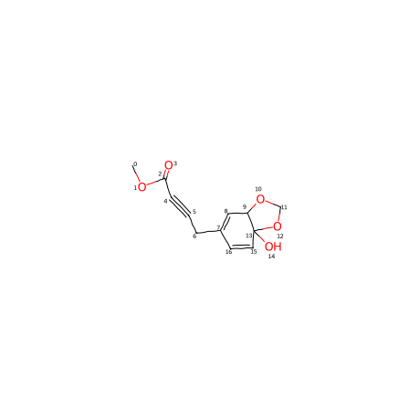 COC(=O)C#CCC1=CC2OCOC2(O)C=C1